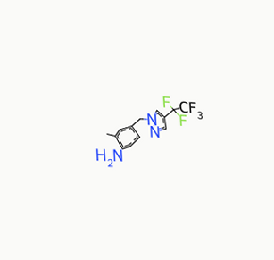 Cc1cc(Cn2cc(C(F)(F)C(F)(F)F)cn2)ccc1N